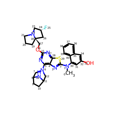 CN(c1nc2c(N3CC4CCC(C3)N4)nc(OC[C@@]34CCCN3C[C@H](F)C4)nc2s1)c1cc(O)cc2ccccc12